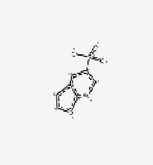 O=S(=O)(Cl)c1cnc2occc2c1